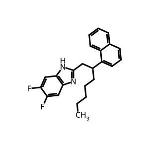 CCCCCC(Cc1nc2cc(F)c(F)cc2[nH]1)c1cccc2ccccc12